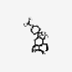 CCC(=O)N1CCC(CC)(N2Cc3c[nH]c4nccc(c34)C2=O)CC1